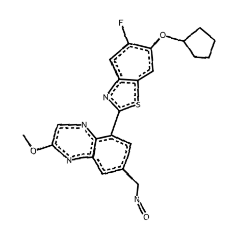 COc1cnc2c(-c3nc4cc(F)c(OC5CCCC5)cc4s3)cc(CN=O)cc2n1